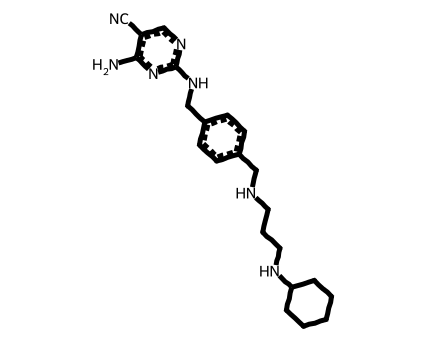 N#Cc1cnc(NCc2ccc(CNCCCNC3CCCCC3)cc2)nc1N